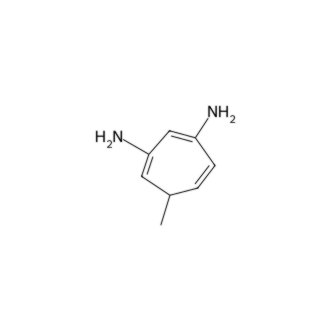 CC1C=CC(N)=CC(N)=C1